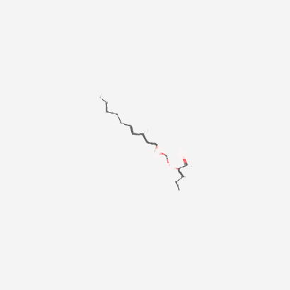 CCC=C(C=O)OCOCCCCCCCCCC